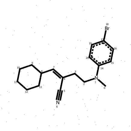 CN(CCC(C#N)=CC1CCCCC1)c1ccc(Br)cc1